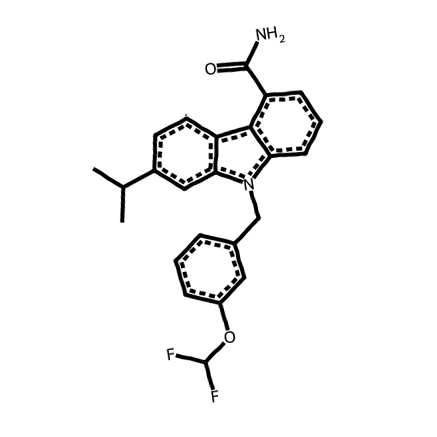 CC(C)c1c[c]c2c3c(C(N)=O)cccc3n(Cc3cccc(OC(F)F)c3)c2c1